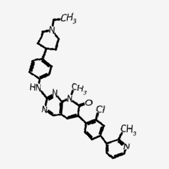 CCN1CCC(c2ccc(Nc3ncc4cc(-c5ccc(-c6cccnc6C)cc5Cl)c(=O)n(C)c4n3)cc2)CC1